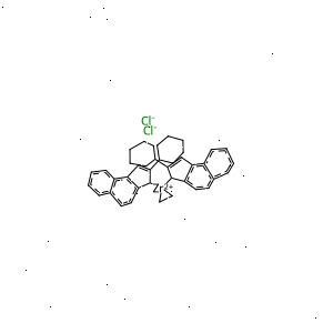 C1=C(C2CCCCC2)[CH]([Zr+2]2([CH]3C(C4CCCCC4)=Cc4c3ccc3ccccc43)[CH2][CH2]2)c2ccc3ccccc3c21.[Cl-].[Cl-]